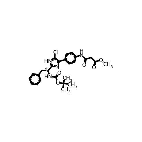 COC(=O)CC(=O)Nc1ccc(-c2nc([C@H](Cc3ccccc3)NC(=O)OC(C)(C)C)[nH]c2Cl)cc1